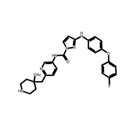 CC(=O)OC1(Cc2ccc(NC(=O)n3ccc(Nc4ccc(Oc5ccc(F)cc5)cc4)n3)cn2)CCNCC1